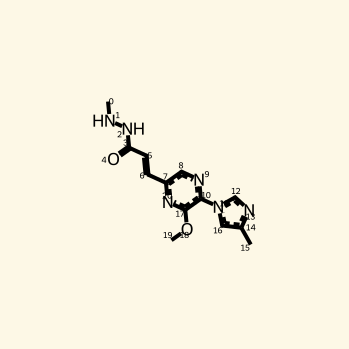 CNNC(=O)/C=C/c1cnc(-n2cnc(C)c2)c(OC)n1